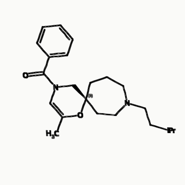 CC1=CN(C(=O)c2ccccc2)C[C@]2(CCCN(CCC(C)C)CC2)O1